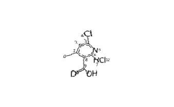 Cc1cc(Cl)nc(C)c1C(=O)O.Cl